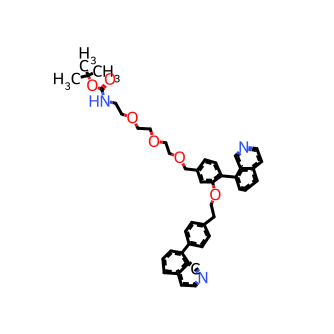 CC(C)(C)OC(=O)NCCOCCOCCOCc1ccc(-c2cccc3ccncc23)c(OCCc2ccc(-c3cccc4ccncc34)cc2)c1